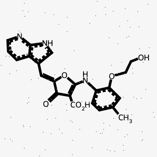 Cc1ccc(NC2=C(C(=O)O)C(=O)C(=Cc3c[nH]c4ncccc34)O2)c(OCCO)c1